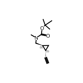 C#C[C@H]1C[C@@H]1CN(C)C(=O)OC(C)(C)C